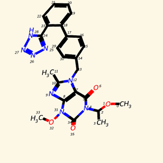 COC(C)n1c(=O)c2c(nc(C)n2Cc2ccc(-c3ccccc3-c3nnn[nH]3)cc2)n(OC)c1=O